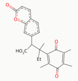 CCC(C)(C1=C(C)C(=O)C(C)=C(C)C1=O)C(C(=O)O)c1ccc2ccc(=O)oc2c1